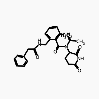 C=C(C)N(C(=O)c1c(N)cccc1CNC(=O)Cc1ccccc1)C1CCC(=O)NC1=O